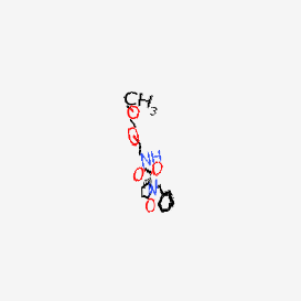 CCOCCOCCNC(=O)C(=O)[C@H]1CCC(=O)N1Cc1ccccc1